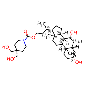 CC[C@H]1[C@@H](O)[C@@H]2[C@H](CC[C@]3(C)[C@@H]([C@H](C)CCOC(=O)N4CCC(CO)(CO)CC4)CC[C@@H]23)[C@@]2(C)CC[C@@H](O)C[C@@H]12